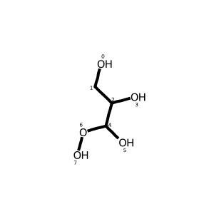 OCC(O)C(O)OO